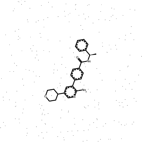 C[C@@H](NC(=O)c1ccc(-c2cc(C3CCOCC3)cnc2N)cc1)c1ccccc1